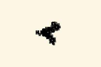 Cc1ccc(Cn2ncc3c(S(N)(=O)=O)cc(NC(=O)Cc4ccccc4Cl)cc32)cc1